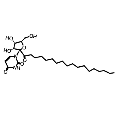 CCCCCCCCCCCCCCCCCC(=O)[C@@]1(n2ccc(=O)[nH]c2=O)O[C@H](CO)[C@@H](O)[C@H]1O